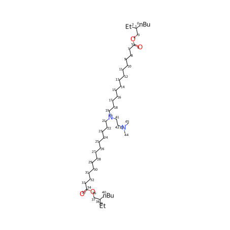 CCCCC(CC)COC(=O)CCCCCCCCCCCCCN(CCCCCCCCCCCCCC(=O)OCC(CC)CCCC)CCN(C)C